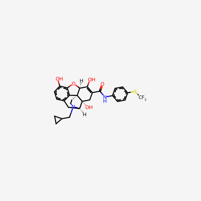 O=C(Nc1ccc(SC(F)(F)F)cc1)C1=C(O)[C@@H]2Oc3c(O)ccc4c3[C@@]23CCN(CC2CC2)[C@H](C4)[C@]3(O)C1